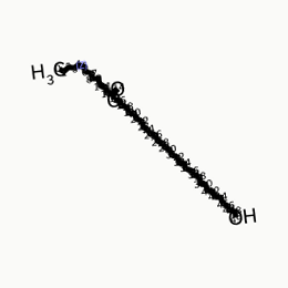 CCCC/C=C\CCCCCCCC(=O)OCCCCCCCCCCCCCCCCCCCCCCCCCCCCCCCCCO